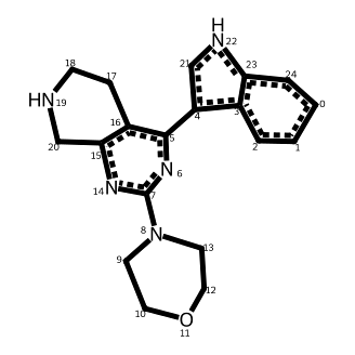 c1ccc2c(-c3nc(N4CCOCC4)nc4c3CCNC4)c[nH]c2c1